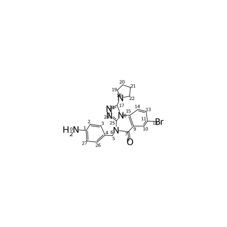 Nc1ccc(Cn2c(=O)c3cc(Br)ccc3n3c(N4CCCC4)nnc23)cc1